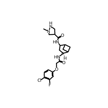 CN1CC(C(=O)NC2C[C@H](NC(=O)COc3ccc(Cl)c(F)c3)C3CC2C3)CN1